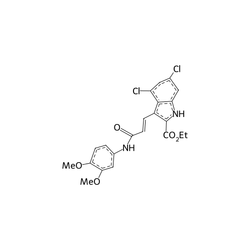 CCOC(=O)c1[nH]c2cc(Cl)cc(Cl)c2c1C=CC(=O)Nc1ccc(OC)c(OC)c1